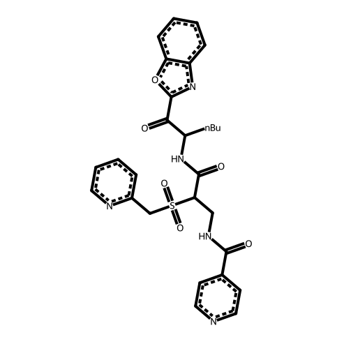 CCCCC(NC(=O)C(CNC(=O)c1ccncc1)S(=O)(=O)Cc1ccccn1)C(=O)c1nc2ccccc2o1